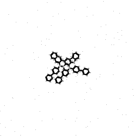 c1ccc(-c2ccc(N3B4c5cc(-c6ccccc6)ccc5N(c5ccc(-c6ccccc6)cc5)c5c4c(cc4c5sc5ccccc54)-c4cc5ccccc5cc43)cc2)cc1